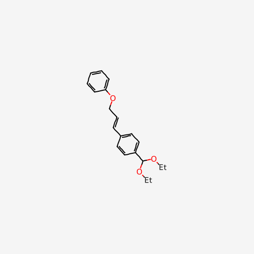 CCOC(OCC)c1ccc(C=CCOc2ccccc2)cc1